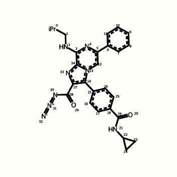 CC(C)CNc1nc(-c2ccccc2)cn2c(-c3ccc(C(=O)NC4CC4)cc3)c(C(=O)N=[N+]=[N-])nc12